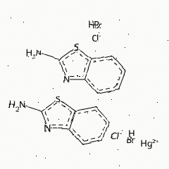 Br.Br.Nc1nc2ccccc2s1.Nc1nc2ccccc2s1.[Cl-].[Cl-].[Hg+2]